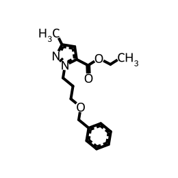 CCOC(=O)c1cc(C)nn1CCCOCc1ccccc1